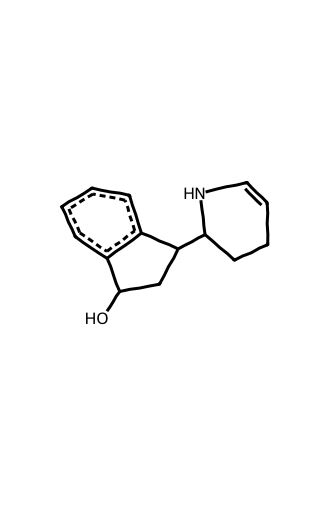 OC1CC(C2CCC=CN2)c2ccccc21